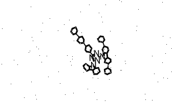 c1ccc(-c2ccc(-c3ccc(-c4nc(-n5c6ccccc6c6ccccc65)nc(-n5c6cc(-c7ccccc7)ccc6c6ccc(-c7ccccc7)cc65)n4)cc3)cc2)cc1